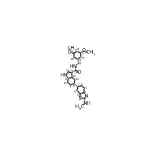 CNc1nc2ccc(-c3ccc4[nH]cc(C(=O)NCc5cc(OC)cc(OC)c5)c4c3)cc2s1